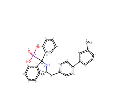 COc1cccc(-c2ccc(CC(NC(c3ccccc3)(c3ccccc3)P(=O)(O)O)C(=O)O)cc2)c1